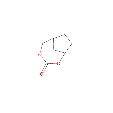 O=C1OCC2CCC(C2)O1